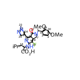 COc1ccc(CN2Cc3c(F)c(NC(CC(C)C)C(=O)O)nc(-c4cnn(C)c4)c3C2=O)c(OC)c1